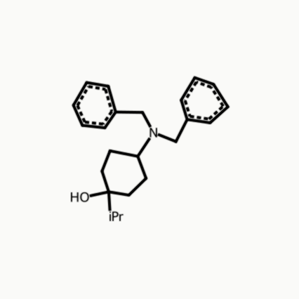 CC(C)C1(O)CCC(N(Cc2ccccc2)Cc2ccccc2)CC1